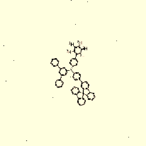 [2H]c1c([2H])c([2H])c(-c2ccc(N(c3ccc(-c4ccc5c(c4)C4(c6ccccc6-c6ccccc64)c4ccccc4-5)cc3)c3cc(-c4ccccc4)cc(-c4ccccc4)c3)cc2)c([2H])c1[2H]